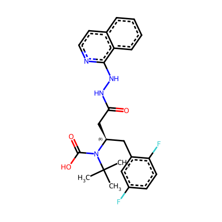 CC(C)(C)N(C(=O)O)[C@@H](CC(=O)NNc1nccc2ccccc12)Cc1cc(F)ccc1F